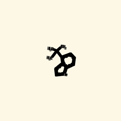 CC(C)(C)c1cccc2[te]ccc12